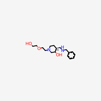 OCCOCCN1CC[C@@H](CNCc2ccccc2)C(O)C1